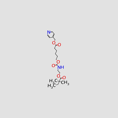 CCC(C)(C)C(=O)OCCNC(=O)OCCCCCC(=O)OCc1ccncc1